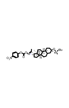 C/C(=N\OC(=O)Oc1ccc([N+](=O)[O-])cc1)[C@H]1CC[C@H]2[C@@H]3CCC4C[C@H](O[Si](C)(C)C(C)(C)C)CC[C@]4(C)[C@H]3CC[C@]12C